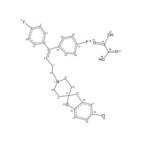 Fc1ccc(C(=CCCN2CCC3(CC2)Cc2cc(Cl)ccc2O3)c2ccc(F)cc2)cc1.O=C(O)C(=O)O